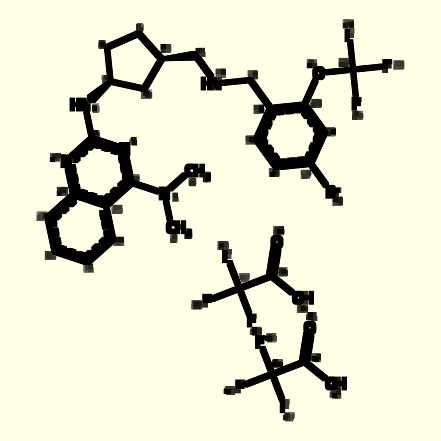 CN(C)c1nc(N[C@H]2CC[C@@H](CNCc3ccc(Br)cc3OC(F)(F)F)C2)nc2ccccc12.O=C(O)C(F)(F)F.O=C(O)C(F)(F)F